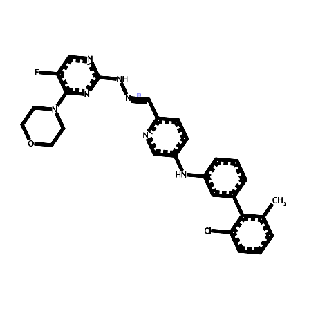 Cc1cccc(Cl)c1-c1cccc(Nc2ccc(/C=N/Nc3ncc(F)c(N4CCOCC4)n3)nc2)c1